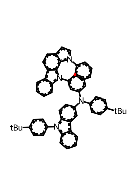 CC(C)(C)c1ccc(N(c2cccc(-n3c4ccccc4c4ccc5ccn(-c6ccccc6)c5c43)c2)c2ccc3c(c2)c2ccccc2n3-c2ccc(C(C)(C)C)cc2)cc1